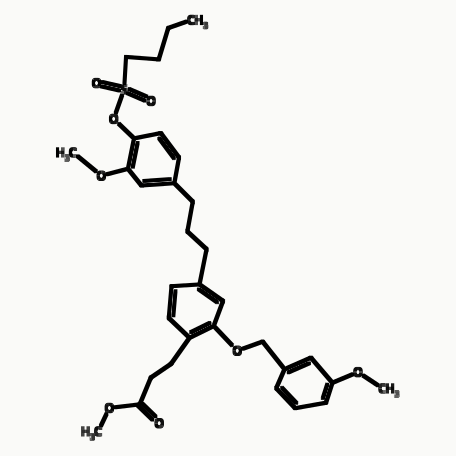 CCCCS(=O)(=O)Oc1ccc(CCCc2ccc(CCC(=O)OC)c(OCc3cccc(OC)c3)c2)cc1OC